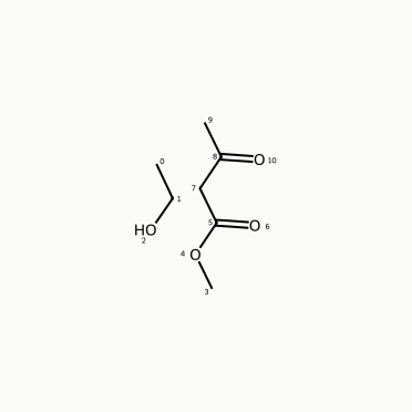 CCO.COC(=O)CC(C)=O